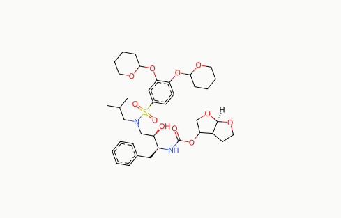 CC(C)CN(C[C@@H](O)[C@H](Cc1ccccc1)NC(=O)OC1CO[C@H]2OCCC12)S(=O)(=O)c1ccc(OC2CCCCO2)c(OC2CCCCO2)c1